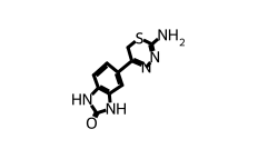 NC1=NN=C(c2ccc3[nH]c(=O)[nH]c3c2)CS1